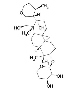 C[C@@H]1CCOC2[C@H]1[C@@]1(C)CCC34C[C@@]35CC[C@H](O[C@@H]3OCC[C@H](O)[C@H]3O)C(C)(C)[C@@H]5CCC4[C@]1(C)[C@H]2O